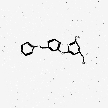 Cc1cc(CN)cc(Oc2cccc(COc3ccccc3)c2)n1